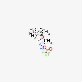 CC(C)(C)[Si](C)(C)O[C@@H]1CCN[C@]1(C)COC(=O)C(F)(F)F